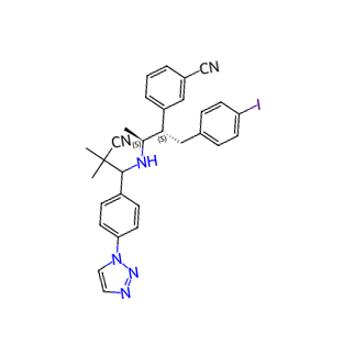 C[C@H](NC(c1ccc(-n2ccnn2)cc1)C(C)(C)C#N)[C@@H](Cc1ccc(I)cc1)c1cccc(C#N)c1